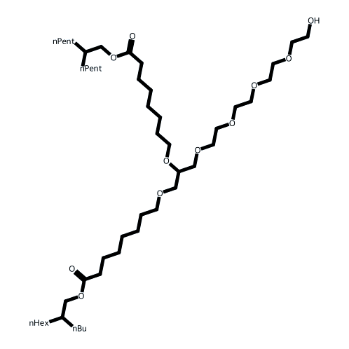 CCCCCCC(CCCC)COC(=O)CCCCCCCOCC(COCCOCCOCCOCCO)OCCCCCCCC(=O)OCC(CCCCC)CCCCC